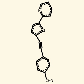 O=Cc1ccc(C#Cc2ccc(-c3ccccn3)s2)cc1